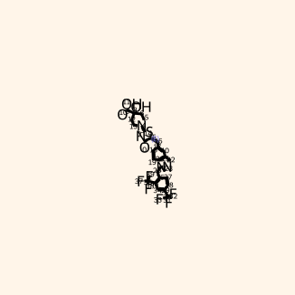 O=C1N=C(N2CCC(O)(C(=O)O)CC2)S/C1=C/c1ccc2c(cnn2Cc2ccc(C(F)(F)F)cc2C(F)(F)F)c1